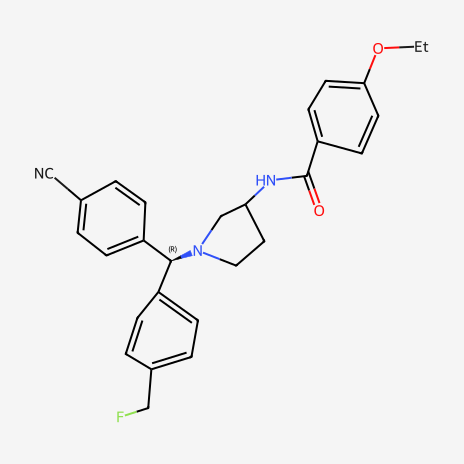 CCOc1ccc(C(=O)NC2CCN([C@H](c3ccc(C#N)cc3)c3ccc(CF)cc3)C2)cc1